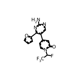 Nc1ncc(-c2ccn(C(F)C(F)(F)F)c(=O)c2)c(-c2ccco2)n1